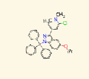 C=N/C(Cl)=C\C(=C/C)c1nn(C(c2ccccc2)(c2ccccc2)c2ccccc2)c2ccc(OC(C)C)cc12